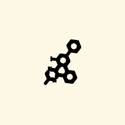 Cc1cnc2c(n1)c1ccccc1c1cc(-c3ccccc3)cc(I)c12